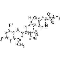 COc1cc(F)cc(F)c1CNc1ccc(-c2cnc(S(C)(=O)=O)cc2C)c2nncn12